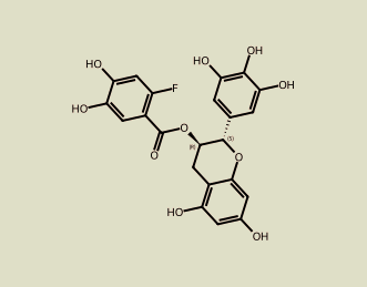 O=C(O[C@@H]1Cc2c(O)cc(O)cc2O[C@H]1c1cc(O)c(O)c(O)c1)c1cc(O)c(O)cc1F